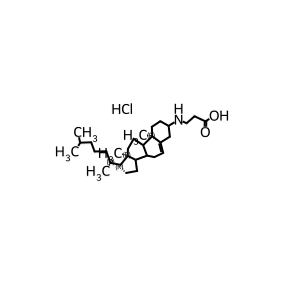 CC(C)CCC[C@@H](C)[C@H]1CCC2C3CC=C4CC(NCCC(=O)O)CC[C@]4(C)C3CC[C@@]21C.Cl